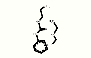 CCCNC(=O)Nc1ccccc1.CCNCC